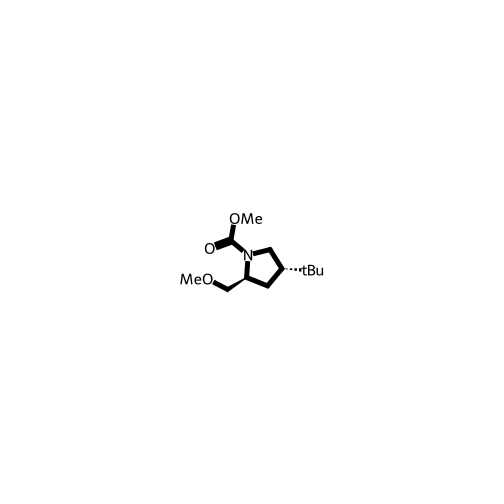 COC[C@@H]1C[C@@H](C(C)(C)C)CN1C(=O)OC